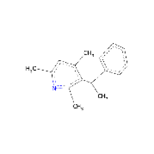 Cc1cc(C)c(C(C)c2ccccc2)c(C)n1